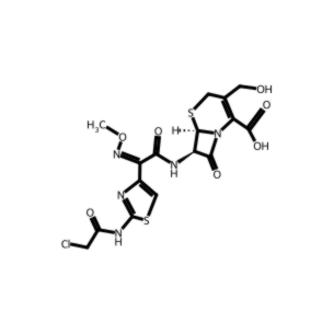 CO/N=C(\C(=O)N[C@@H]1C(=O)N2C(C(=O)O)=C(CO)CS[C@H]12)c1csc(NC(=O)CCl)n1